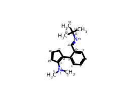 CN(C)C1=C(c2ccccc2/C=N/C(C)(C)C)CC=C1